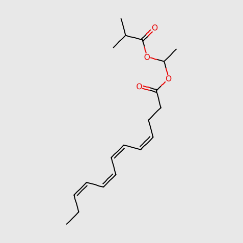 CC\C=C/C=C\C=C/C=C\CCC(=O)OC(C)OC(=O)C(C)C